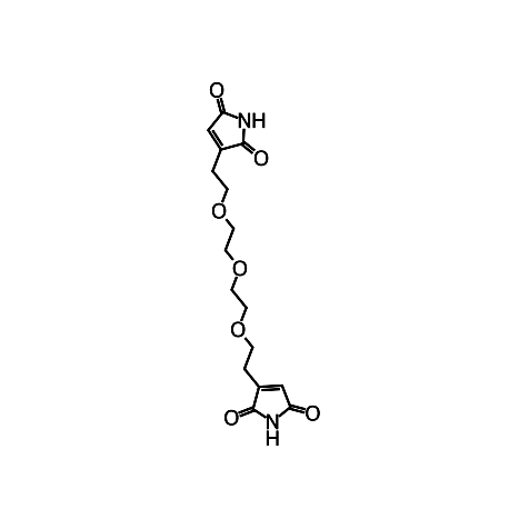 O=C1C=C(CCOCCOCCOCCC2=CC(=O)NC2=O)C(=O)N1